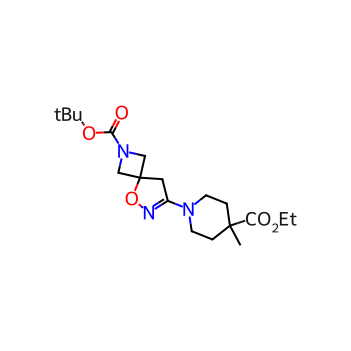 CCOC(=O)C1(C)CCN(C2=NOC3(C2)CN(C(=O)OC(C)(C)C)C3)CC1